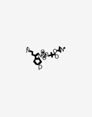 COc1ccc2c(CCN(C)C)cn(S(=O)(=O)OCC(C)(C)C(=O)OC3CN(C)C3)c2c1